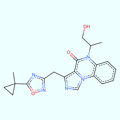 CC(CO)n1c(=O)c2c(Cc3noc(C4(C)CC4)n3)ncn2c2ccccc21